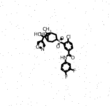 C[C@H]1CC2CC(S(=O)(=O)c3cc(C(=O)Nc4ccc(F)c(F)c4)ccc3Cl)CC1[C@@]2(O)C(O)c1cnoc1